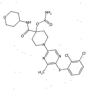 Cc1nc(N2CCC(OC(N)=O)(C(=O)NC3CCOCC3)CC2)cnc1Sc1cccc(Cl)c1Cl